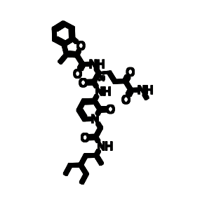 CCC(CC)CC(C)NC(=O)Cn1cccc(NC(=O)[C@H](CCC(=O)C(=O)NC)NC(=O)c2oc3ccccc3c2C)c1=O